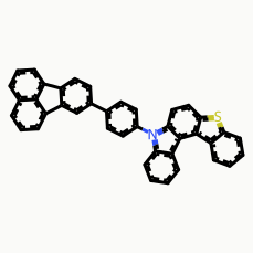 c1cc2c3c(cccc3c1)-c1cc(-c3ccc(-n4c5ccccc5c5c6c(ccc54)sc4ccccc46)cc3)ccc1-2